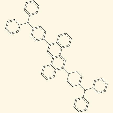 C1=CC(c2cc3c4ccccc4c(-c4ccc(N(c5ccccc5)c5ccccc5)cc4)cc3c3ccccc23)CC=C1N(c1ccccc1)c1ccccc1